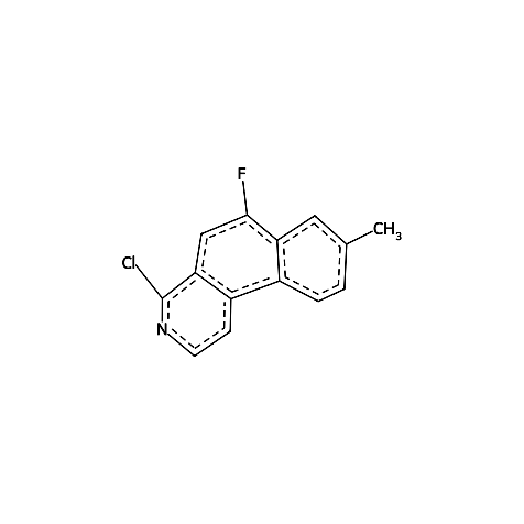 Cc1ccc2c(c1)c(F)cc1c(Cl)nccc12